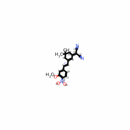 COc1cc(/C=C/C2=CC(=C(C#N)C#N)CC(C)(C)C2)ccc1[N+](=O)[O-]